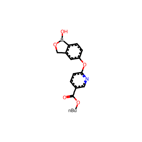 CCCCOC(=O)c1ccc(Oc2ccc3c(c2)COB3O)nc1